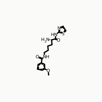 COc1cccc(C(=O)NCCCC[C@H](N)C(=O)Nc2nccs2)c1